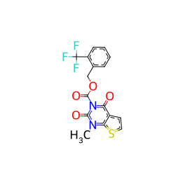 Cn1c(=O)n(C(=O)OCc2ccccc2C(F)(F)F)c(=O)c2ccsc21